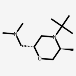 C[C@H]1CO[C@H](CN(C)C)CN1C(C)(C)C